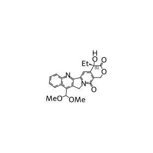 CC[C@@]1(O)C(=O)OCc2c1cc1n(c2=O)Cc2c-1nc1ccccc1c2C(OC)OC